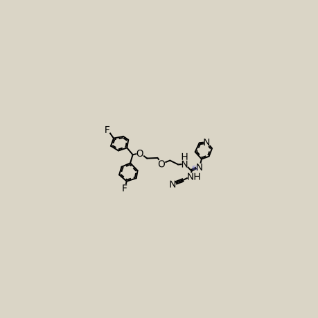 N#CN/C(=N/c1ccncc1)NCCOCCOC(c1ccc(F)cc1)c1ccc(F)cc1